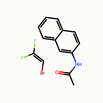 CC(=O)Nc1ccc2ccccc2c1.FC(F)=CBr